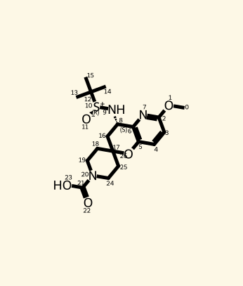 COc1ccc2c(n1)[C@@H](N[S@@+]([O-])C(C)(C)C)CC1(CCN(C(=O)O)CC1)O2